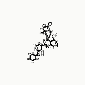 COc1cncc2nc(-c3ccnc(Nc4ccccc4)c3)nc(N3CCN4C(=O)OC[C@H]4C3)c12